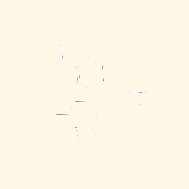 CC(C)C1(C)C(C(=O)O)=CC=CC1C(=O)O.NCc1ccc(S(=O)(=O)N2CC2)cc1